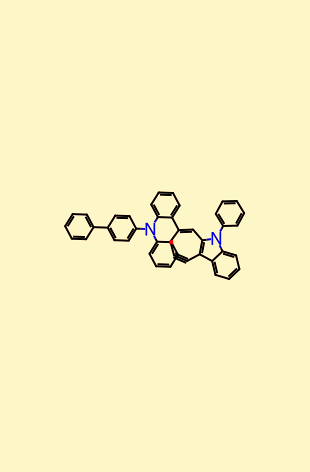 C1#Cc2c(n(-c3ccccc3)c3ccccc23)C=C(c2ccccc2N(C2=CC=CCC2)c2ccc(-c3ccccc3)cc2)C1